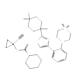 CC1(c2nc(-c3ccccc3N3CCS(=O)(=O)CC3)c([C@@H]3CCCC[C@H]3C(=O)NC3(C#N)CC3)o2)CCC(F)(F)CC1